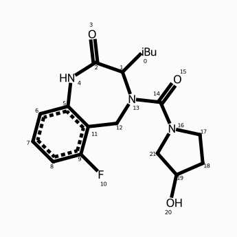 CCC(C)C1C(=O)Nc2cccc(F)c2CN1C(=O)N1CCC(O)C1